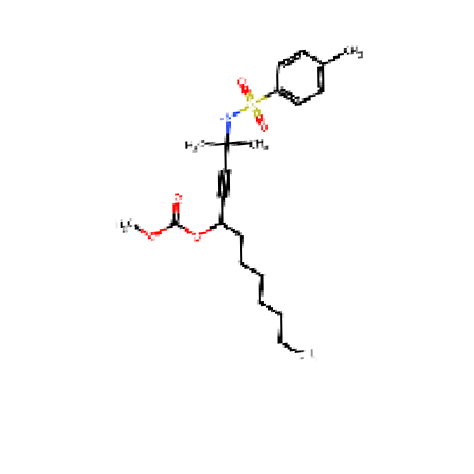 CCCCCCCC(C#CC(C)(C)NS(=O)(=O)c1ccc(C)cc1)OC(=O)OC